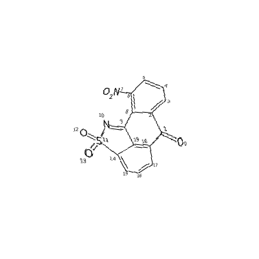 O=C1c2cccc([N+](=O)[O-])c2C2=NS(=O)(=O)c3cccc1c32